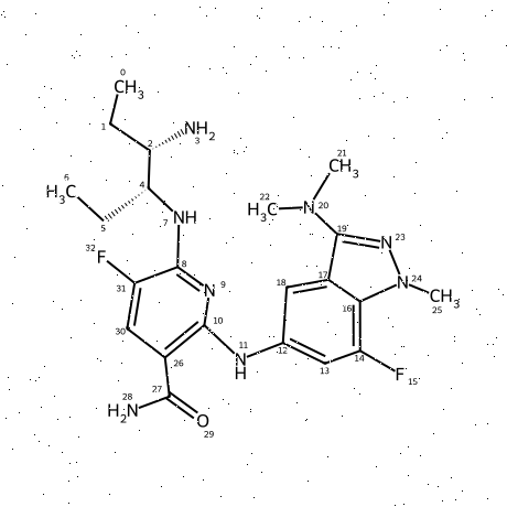 CC[C@H](N)[C@@H](CC)Nc1nc(Nc2cc(F)c3c(c2)c(N(C)C)nn3C)c(C(N)=O)cc1F